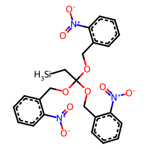 O=[N+]([O-])c1ccccc1COC(C[SiH3])(OCc1ccccc1[N+](=O)[O-])OCc1ccccc1[N+](=O)[O-]